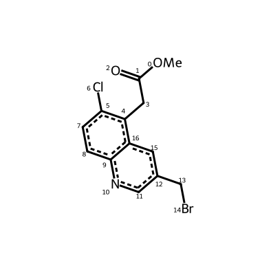 COC(=O)Cc1c(Cl)ccc2ncc(CBr)cc12